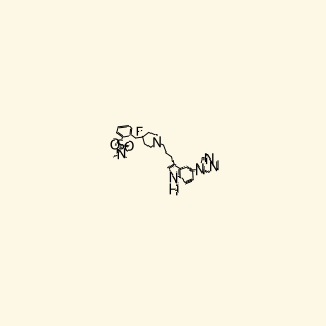 CN(C)S(=O)(=O)c1ccccc1CC1(F)CCN(CCCc2c[nH]c3ccc(-n4cnnc4)cc23)CC1